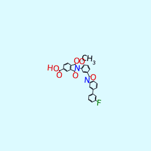 COc1ccc(-c2nc3cc(-c4cccc(F)c4)ccc3o2)cc1N1C(=O)c2ccc(C(=O)O)cc2C1=O